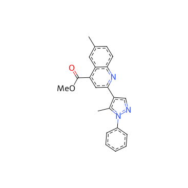 COC(=O)c1cc(-c2cnn(-c3ccccc3)c2C)nc2ccc(C)cc12